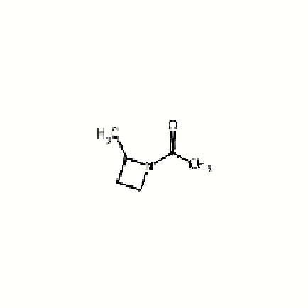 CC(=O)N1CCC1C